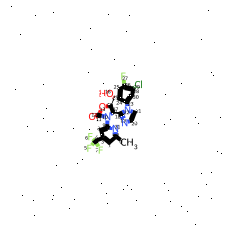 Cc1cc(C(F)(F)F)cc(N2C(=O)O[C@H](CO)[C@H]2c2nccn2-c2ccc(F)c(Cl)c2)n1